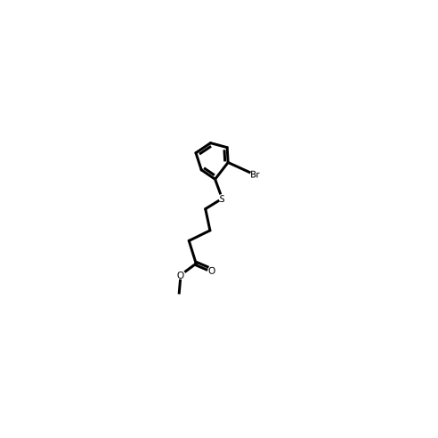 COC(=O)CCCSc1ccccc1Br